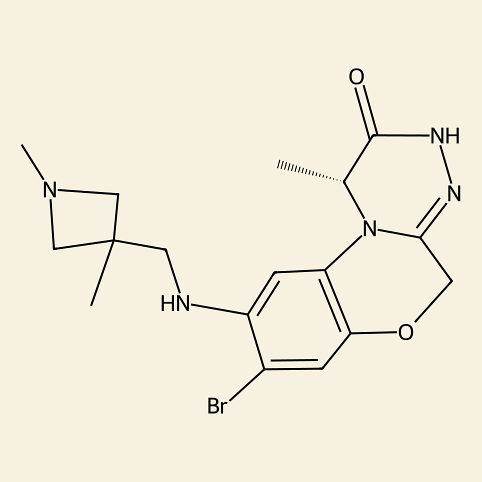 C[C@@H]1C(=O)NN=C2COc3cc(Br)c(NCC4(C)CN(C)C4)cc3N21